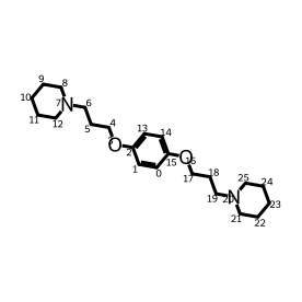 c1cc(OCCCN2CCCCC2)ccc1OCCCN1CCCCC1